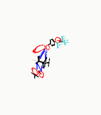 CC(C)(C)OC(=O)N1C[C@H]2CN(C(=O)OCc3ccc(OC(F)(F)F)cc3)C[C@]2(C)C1